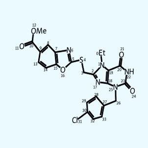 CCn1c(CSc2nc3cc(C(=O)OC)ccc3o2)nc2c1c(=O)[nH]c(=O)n2Cc1ccc(Cl)cc1